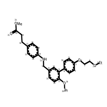 CCOCCOc1ccc(-c2cc(CNc3ccc(CCC(=O)OC)cc3)ccc2OC(C)C)cc1